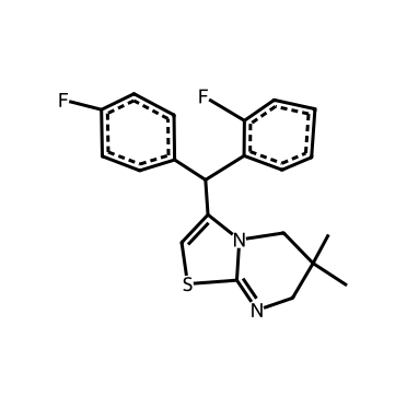 CC1(C)CN=C2SC=C(C(c3ccc(F)cc3)c3ccccc3F)N2C1